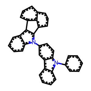 c1ccc(-n2c3ccccc3c3cc(-n4c5c(c6ccccc64)-c4cccc6cccc-5c46)ccc32)cc1